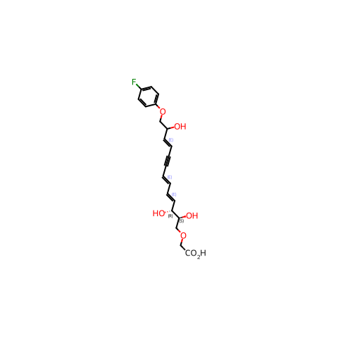 O=C(O)COC[C@H](O)[C@H](O)/C=C/C=C/C#C/C=C/C(O)COc1ccc(F)cc1